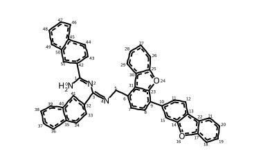 N/C(=N\C(=N/Cc1ccc(-c2ccc3c(c2)oc2ccccc23)c2oc3ccccc3c12)c1ccc2ccccc2c1)c1ccc2ccccc2c1